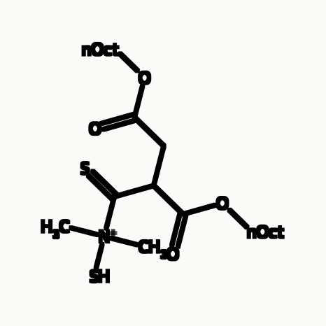 CCCCCCCCOC(=O)CC(C(=O)OCCCCCCCC)C(=S)[N+](C)(C)S